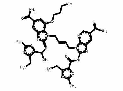 CCc1nc(C)oc1C(=O)Nc1nc2cc(C(N)=O)cnc2n1C/C=C/Cn1/c(=N/C(O)c2oc(C)nc2CC)sc2cc(C(N)=O)cc(OCCCO)c21